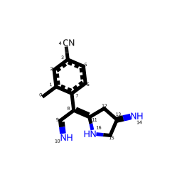 Cc1cc(C#N)ccc1/C(C=N)=C1\CC(=N)CN1